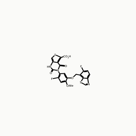 COc1cc(F)c(-n2c(=O)[nH]c3csc(C(=O)O)c3c2=O)cc1OCc1c(F)ccc2ncsc12